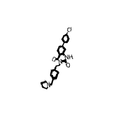 O=c1[nH]c2cc(-c3ccc(Cl)cc3)ccc2c(=O)n1CCc1ccc(CN2CCCC2)cc1